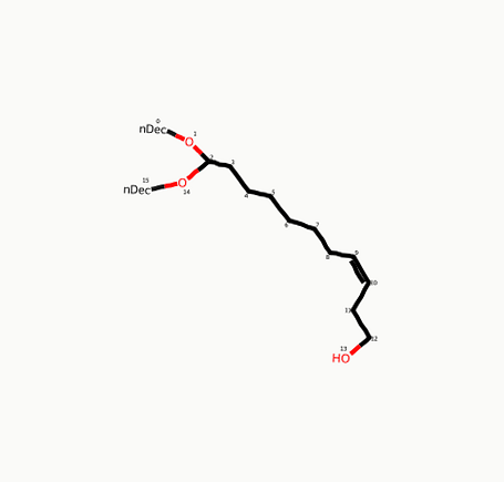 CCCCCCCCCCOC(CCCCCC/C=C\CCO)OCCCCCCCCCC